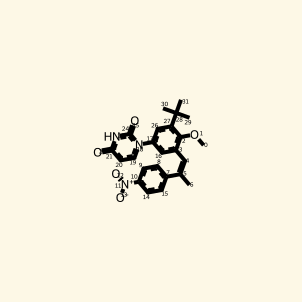 COc1c(C=C(C)c2ccc([N+](=O)[O-])cc2)cc(-n2ccc(=O)[nH]c2=O)cc1C(C)(C)C